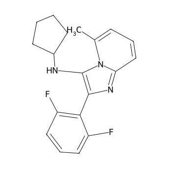 Cc1cccc2nc(-c3c(F)cccc3F)c(NC3CCCC3)n12